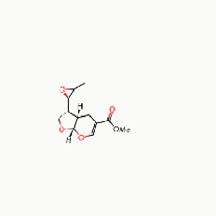 COC(=O)C1=CO[C@@H]2OC[C@H]([C@H]3OC3C)[C@@H]2C1